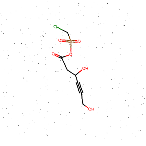 O=C(CC(O)C#CCO)OS(=O)(=O)CCl